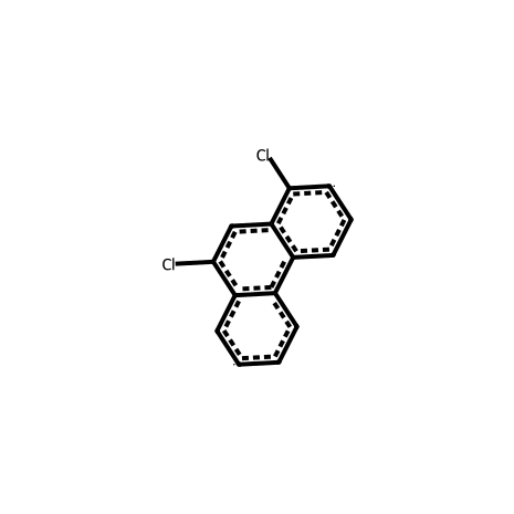 Clc1[c]ccc2c1cc(Cl)c1c[c]ccc12